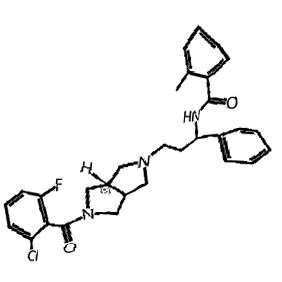 Cc1ccccc1C(=O)NC(CCN1CC2CN(C(=O)c3c(F)cccc3Cl)C[C@@H]2C1)c1ccccc1